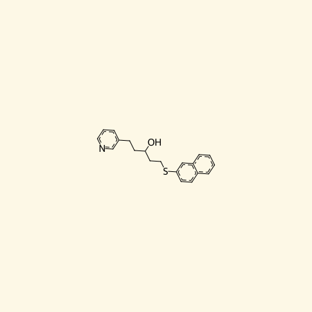 OC(CCSc1ccc2ccccc2c1)CCc1cccnc1